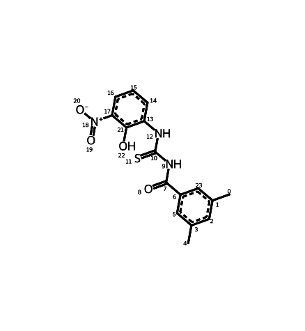 Cc1cc(C)cc(C(=O)NC(=S)Nc2cccc([N+](=O)[O-])c2O)c1